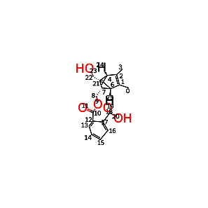 CC1=C(C)[C@@H]2C[C@H]1[C@H](COC(=O)c1ccccc1C(=O)O)[C@@H]2CO